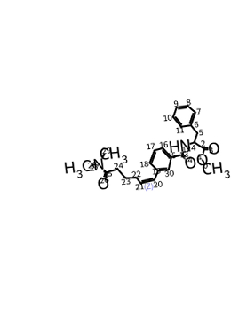 COC(=O)C(Cc1ccccc1)NC(=O)c1cccc(/C=C\CCCC(=O)N(C)C)c1